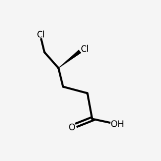 O=C(O)CC[C@H](Cl)CCl